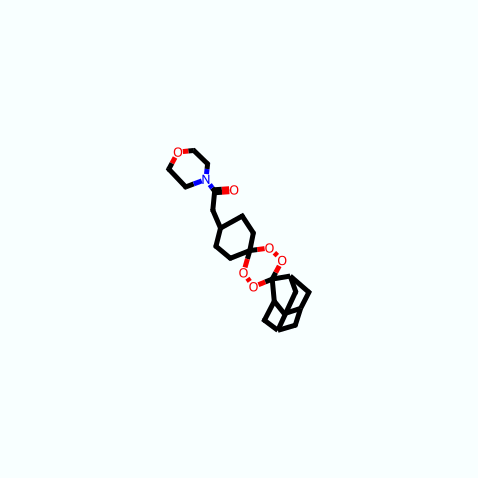 O=C(CC1CCC2(CC1)OOC1(OO2)C2CC3CC(C2)CC1C3)N1CCOCC1